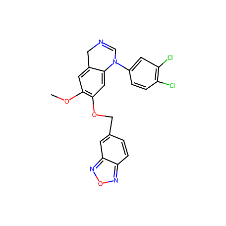 COc1cc2c(cc1OCc1ccc3nonc3c1)N(c1ccc(Cl)c(Cl)c1)C=NC2